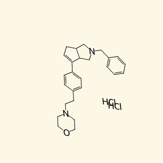 C1=C(c2ccc(CCN3CCOCC3)cc2)C2CN(Cc3ccccc3)CC2C1.Cl.Cl